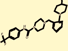 O=C(Nc1ccc(C(F)(F)F)cc1)N1CCN(Cc2ccccc2N2CCC(O)CC2)CC1